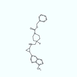 Cn1ccc2cc(C3CC3NCC3(F)CCN(C(=O)OCc4ccccc4)CC3)ccc21